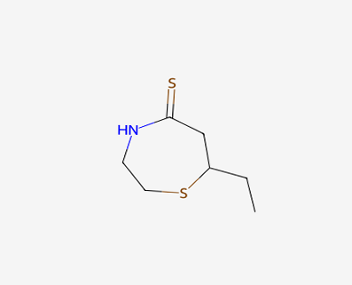 CCC1CC(=S)NCCS1